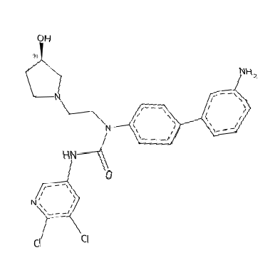 Nc1cccc(-c2ccc(N(CCN3CC[C@@H](O)C3)C(=O)Nc3cnc(Cl)c(Cl)c3)cc2)c1